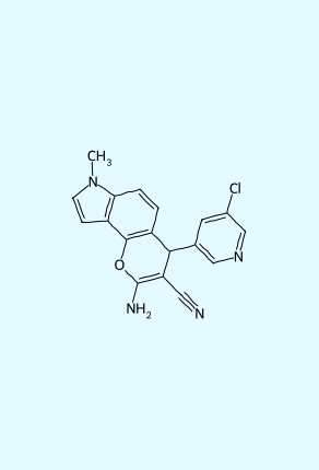 Cn1ccc2c3c(ccc21)C(c1cncc(Cl)c1)C(C#N)=C(N)O3